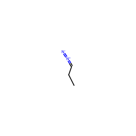 CCC=[N+]=[N-]